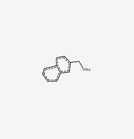 CCCCCCCc1ccc2cc[c]cc2c1